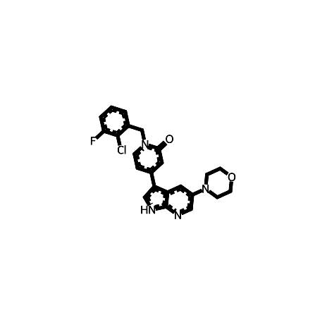 O=c1cc(-c2c[nH]c3ncc(N4CCOCC4)cc23)ccn1Cc1cccc(F)c1Cl